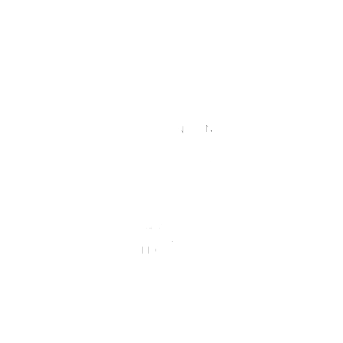 CC1(C)c2ccccc2-c2ccc(-c3ccc(-c4nc(-c5ccccc5)cc(-c5ccc(-c6ccccc6)cc5)n4)c4ccccc34)cc21